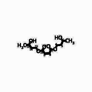 CC(O)CCOC(=O)/C=C\C(=O)OCCC(C)O